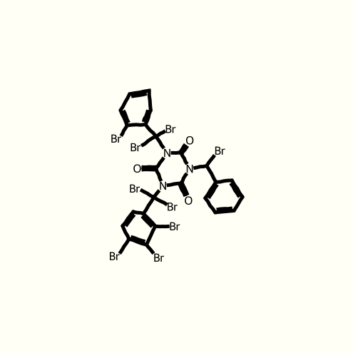 O=c1n(C(Br)c2ccccc2)c(=O)n(C(Br)(Br)c2ccc(Br)c(Br)c2Br)c(=O)n1C(Br)(Br)c1ccccc1Br